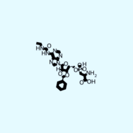 CCNC(=O)Nc1ncnc2c1ncn2[C@@H]1O[C@H](COP(=O)(O)CC(N)C(=O)O)C2O[C@@H](c3ccccc3)O[C@@H]21